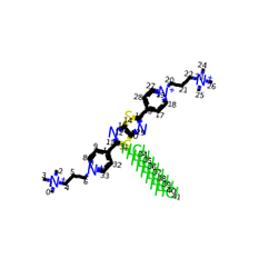 C[N+](C)(C)CCC[n+]1ccc(-c2nc3sc(-c4cc[n+](CCC[N+](C)(C)C)cc4)nc3s2)cc1.Cl.Cl.Cl.Cl.Cl.Cl.Cl.Cl